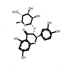 CC(=O)O[C@@H]1[C@@H](O)[C@@H](O)[C@H](O[C@H]2C(=O)c3c(O)cc(O)cc3O[C@@H]2c2ccc(O)c(O)c2)O[C@H]1C